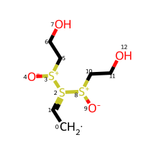 [CH2]C=S([S+]([O-])CCO)[S+]([O-])CCO